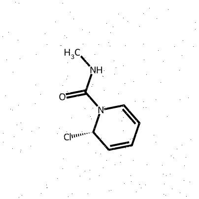 CNC(=O)N1C=CC=C[C@@H]1Cl